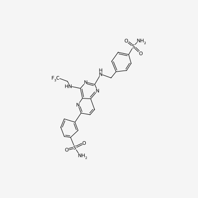 NS(=O)(=O)c1ccc(CNc2nc(NCC(F)(F)F)c3nc(-c4cccc(S(N)(=O)=O)c4)ccc3n2)cc1